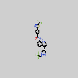 O=C(Nc1cccc2c(-c3cnn(CC(F)(F)F)c3)ccnc12)c1ccc(-c2nnc(C(F)F)s2)cc1